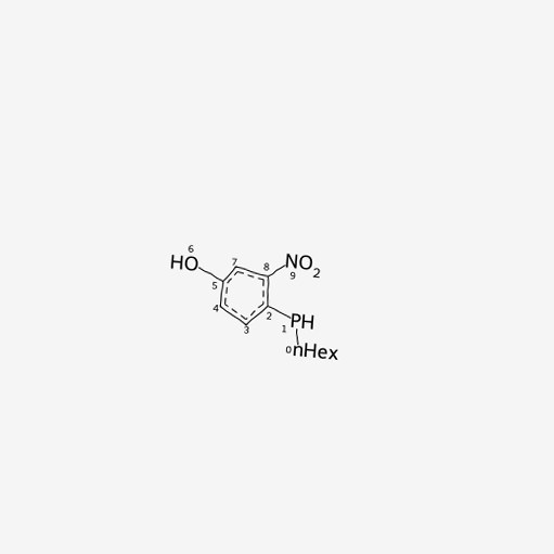 CCCCCCPc1ccc(O)cc1[N+](=O)[O-]